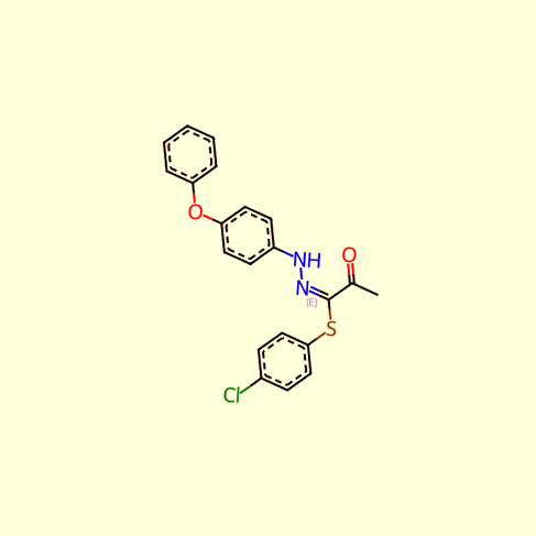 CC(=O)/C(=N\Nc1ccc(Oc2ccccc2)cc1)Sc1ccc(Cl)cc1